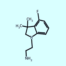 CC1(C)CN(CCN)c2cccc(F)c21